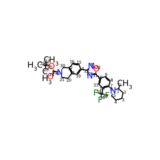 CC1CCCCN1c1ccc(-c2nc(-c3ccc4c(c3)CCN(C(=O)OC(C)(C)C)C4)no2)cc1C(F)(F)F